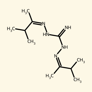 C/C(=N/NC(=N)N/N=C(/C)C(C)C)C(C)C